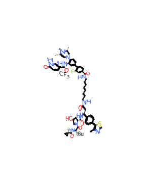 Cc1ncsc1-c1ccc([C@H](CC(=O)NCCCCCCCCNC(=O)c2ccc(-c3ccc(N4C[C@@H](C)N(C)[C@@H](C)C4)c(NC(=O)c4c[nH]c(=O)cc4C(F)(F)F)c3)c(F)c2)NC(=O)[C@@H]2C[C@@H](O)CN2C(=O)[C@@H](NC(=O)C2(F)CC2)C(C)(C)C)cc1